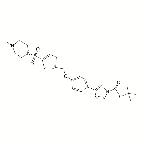 CN1CCN(S(=O)(=O)c2ccc(COc3ccc(-c4cn(C(=O)OC(C)(C)C)cn4)cc3)cc2)CC1